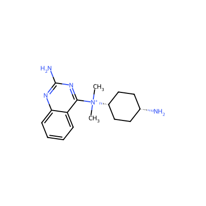 C[N+](C)(c1nc(N)nc2ccccc12)[C@H]1CC[C@@H](N)CC1